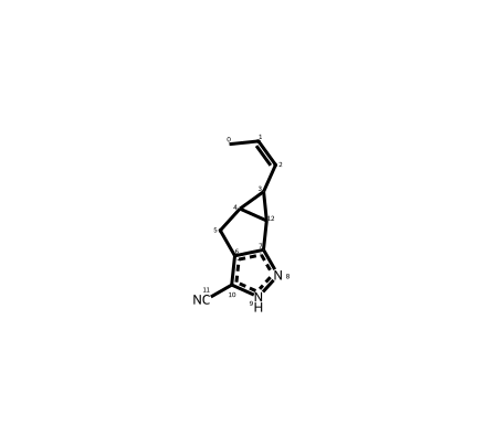 C/C=C\C1C2Cc3c(n[nH]c3C#N)C12